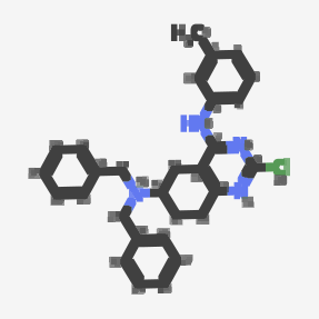 Cc1cccc(Nc2nc(Cl)nc3c2CC(N(Cc2ccccc2)Cc2ccccc2)CC3)c1